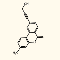 Cc1ccc2c(c1)oc(=O)c1ccc(C#CCO)cc12